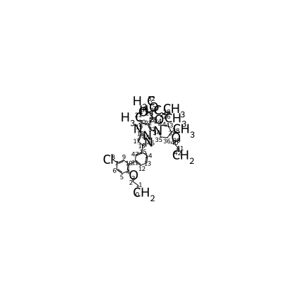 C=CCOc1ccc(Cl)cc1-c1cccc(-c2cc3nc(C)c([C@H](OC(C)(C)C)C(=O)OC)c(N4CCC(C)(OCC=C)CC4)n3n2)c1